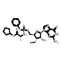 C[C@@H](N[P@@](=O)(OC[C@H]1O[C@@H](n2cnc3c(=O)[nH]c(N)nc32)[C@H](O)[C@@H]1CF)Oc1ccccc1)C(=O)OC1CCCC1